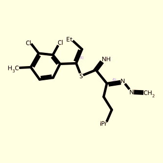 C=N/N=C(\CCC(C)C)C(=N)S/C(=C/CC)c1ccc(C)c(Cl)c1Cl